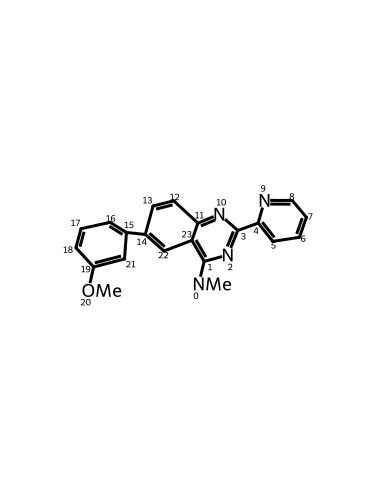 CNc1nc(-c2ccccn2)nc2ccc(-c3cccc(OC)c3)cc12